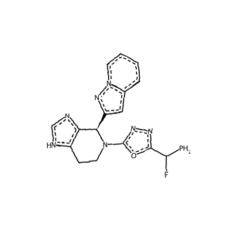 FC(P)c1nnc(N2CCc3[nH]cnc3[C@H]2c2cc3ccccn3n2)o1